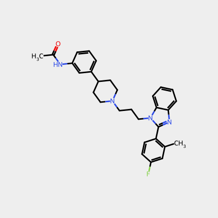 CC(=O)Nc1cccc(C2CCN(CCCn3c(-c4ccc(F)cc4C)nc4ccccc43)CC2)c1